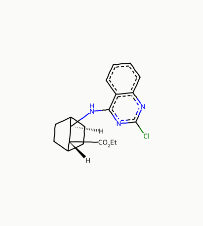 CCOC(=O)[C@@H]1C2CCC(CC2)[C@H]1Nc1nc(Cl)nc2ccccc12